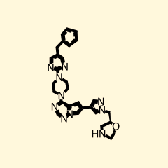 c1ccc(Cc2cnc(N3CCN(c4ncnn5cc(-c6cnn(C[C@@H]7CNCCO7)c6)cc45)CC3)nc2)cc1